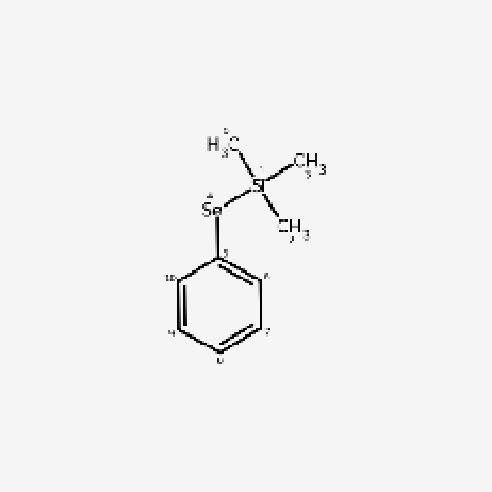 C[Si](C)(C)[Se]c1ccccc1